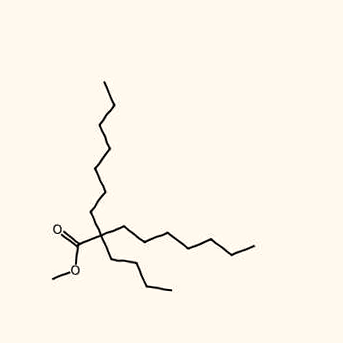 CCCCCCCC(CCCC)(CCCCCCC)C(=O)OC